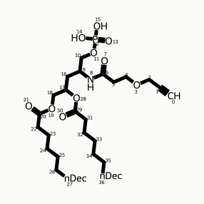 C#CCOCCC(=O)NC(COP(=O)(O)O)CC(COC(=O)CCCCCCCCCCCCCCC)OC(=O)CCCCCCCCCCCCCCC